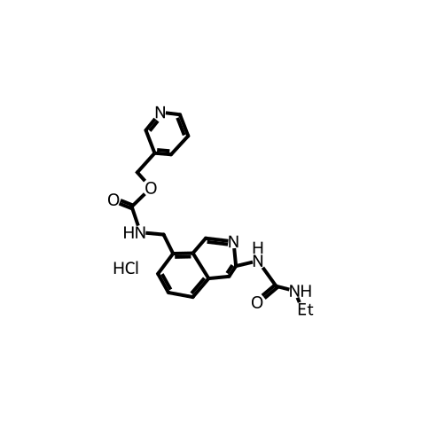 CCNC(=O)Nc1cc2cccc(CNC(=O)OCc3cccnc3)c2cn1.Cl